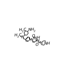 CCN(Cc1ccc(-n2ccc(NC(=O)N3CCNCC3)nc2=O)cc1)C1CC[C@H](N)C(C)C1